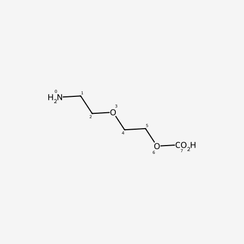 NCCOCCOC(=O)O